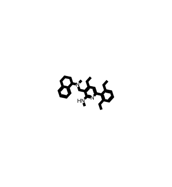 CCc1cc(-c2c(CC)cccc2CC)nc(NC)c1CN(C)C1CCCc2ccccc21